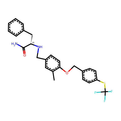 Cc1cc(CN[C@@H](Cc2ccccc2)C(N)=O)ccc1OCc1ccc(SC(F)(F)F)cc1